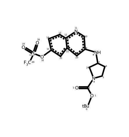 CC(C)(C)OC(=O)N1CCC(Nc2cnc3ccc(OS(=O)(=O)C(F)(F)F)cc3c2)C1